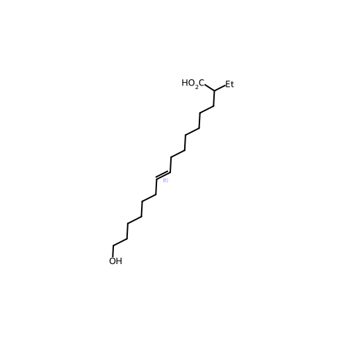 CCC(CCCCCC/C=C/CCCCCCO)C(=O)O